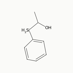 CC(O)[SiH2]c1ccccc1